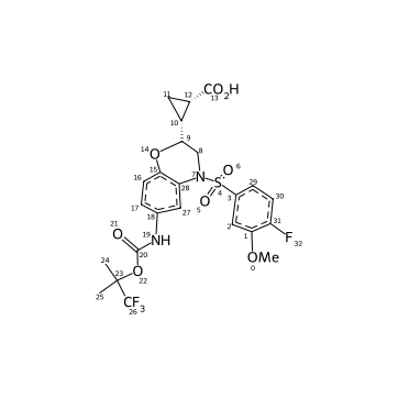 COc1cc(S(=O)(=O)N2CC([C@@H]3C[C@@H]3C(=O)O)Oc3ccc(NC(=O)OC(C)(C)C(F)(F)F)cc32)ccc1F